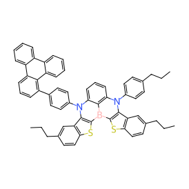 CCCc1ccc(N2c3cccc4c3B(c3sc5ccc(CCC)cc5c32)c2sc3ccc(CCC)cc3c2N4c2ccc(-c3cccc4c5ccccc5c5ccccc5c34)cc2)cc1